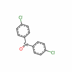 O=[Se](c1ccc(Cl)cc1)c1ccc(Cl)cc1